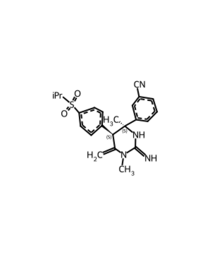 C=C1[C@@H](c2ccc(S(=O)(=O)C(C)C)cc2)[C@@](C)(c2cccc(C#N)c2)NC(=N)N1C